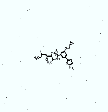 C=C/C(F)=C\C(Cl)=C(/C)C(C)NC(=C)c1cc(OCC2CC2)cc(-c2ncc(C)s2)c1